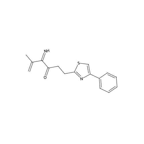 C=C(C)C(=N)C(=O)CCc1nc(-c2ccccc2)cs1